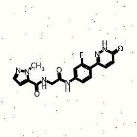 Cn1nccc1C(=O)NCC(=O)Nc1ccc(-c2ccc(=O)[nH]n2)c(F)c1